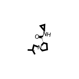 C[C](C)CN1CCC[C@H]1C(=O)NC1CC1